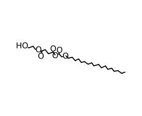 CCCCCCCCCCCCCCCCCCOCC(=O)OC(=O)CCC(=O)OCCCO